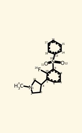 CN1CCC(c2cccc(S(=O)(=O)c3ccccc3)c2F)C1